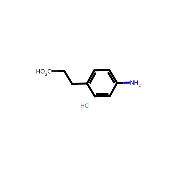 Cl.Nc1ccc(CCC(=O)O)cc1